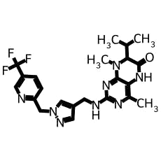 Cc1nc(NCc2cnn(Cc3ccc(C(F)(F)F)cn3)c2)nc2c1NC(=O)C(C(C)C)N2C